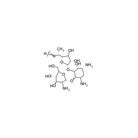 C=N[C@H](C)[C@H]1O[C@@H](OC2[C@H](O[C@H]3OC(CO)[C@@H](O)[C@H](O)C3N)C(N)C[C@@H](N)[C@H]2O)[C@@H](O)C1O